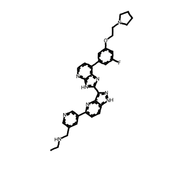 CCNCc1cncc(-c2ccc3[nH]nc(-c4nc5c(-c6cc(F)cc(OCCN7CCCC7)c6)ccnc5[nH]4)c3n2)c1